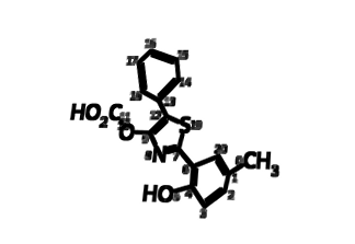 Cc1ccc(O)c(-c2nc(OC(=O)O)c(-c3ccccc3)s2)c1